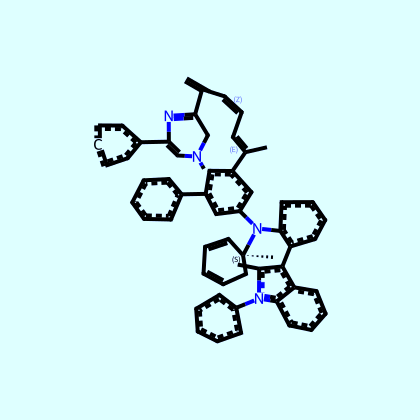 C=C(/C=C\C=C(/C)c1cc(-c2ccccc2)cc(N(c2ccccc2-c2c(C)n(-c3ccccc3)c3ccccc23)[C@]2(C)C=CC=CC2)c1)C1=NC(c2ccccc2)=CN(C)C1